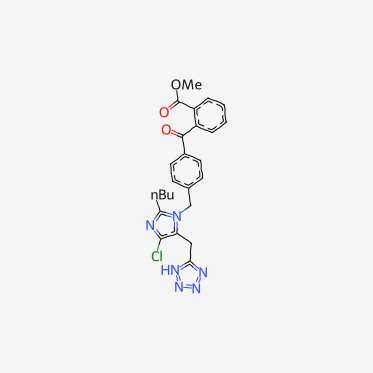 CCCCc1nc(Cl)c(Cc2nnn[nH]2)n1Cc1ccc(C(=O)c2ccccc2C(=O)OC)cc1